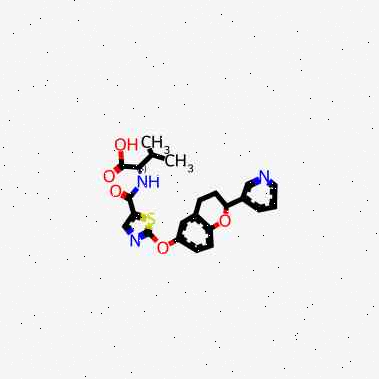 CC(C)[C@H](NC(=O)c1cnc(Oc2ccc3c(c2)CCC(c2cccnc2)O3)s1)C(=O)O